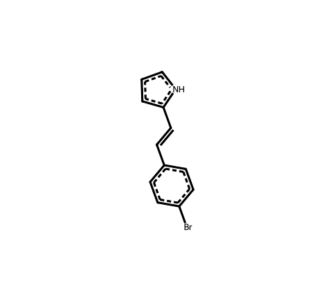 Brc1ccc(C=Cc2ccc[nH]2)cc1